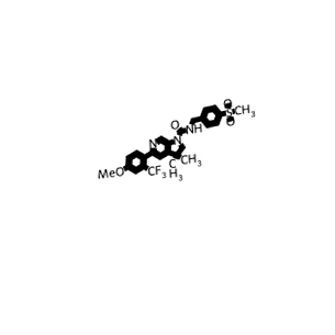 COc1ccc(-c2cc3c(cn2)N(C(=O)NCc2ccc(S(C)(=O)=O)cc2)CC3(C)C)c(C(F)(F)F)c1